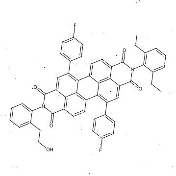 CCc1cccc(CC)c1N1C(=O)c2ccc3c4c(-c5ccc(F)cc5)cc5c6c(ccc(c7c(-c8ccc(F)cc8)cc(c2c37)C1=O)c64)C(=O)N(c1ccccc1CCO)C5=O